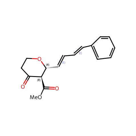 COC(=O)[C@H]1C(=O)CCO[C@@H]1/C=C/C=C/c1ccccc1